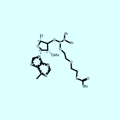 CC[C@H]1O[C@@H](n2cnc3c(C)ncnc32)[C@@H](OC)C1OP(OCCOCCSC(=O)C(C)(C)C)N(C(C)C)C(C)C